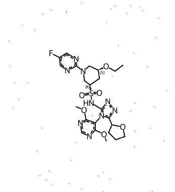 CCO[C@H]1C[C@@H](S(=O)(=O)Nc2nnc(C3CCCO3)n2-c2c(OC)ncnc2OC)CN(c2ncc(F)cn2)C1